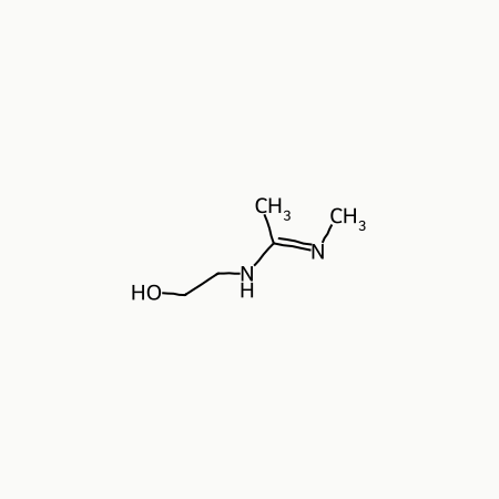 C/N=C(\C)NCCO